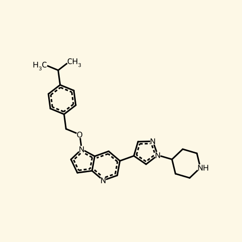 CC(C)c1ccc(COn2ccc3ncc(-c4cnn(C5CCNCC5)c4)cc32)cc1